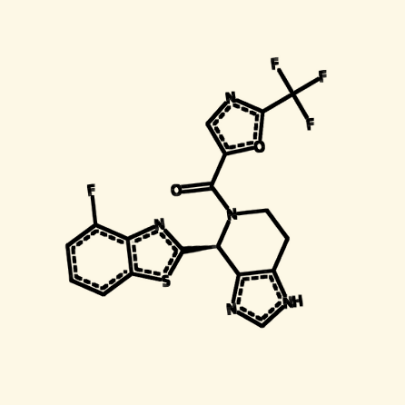 O=C(c1cnc(C(F)(F)F)o1)N1CCc2[nH]cnc2[C@H]1c1nc2c(F)cccc2s1